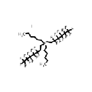 CCCCCC[P+](CCCCCC)(CCC(F)(F)C(F)(F)C(F)(F)C(F)(F)C(F)(F)F)CCC(F)(F)C(F)(F)C(F)(F)C(F)(F)C(F)(F)F.[I-]